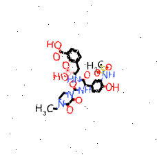 CCN1CCN(C(=O)NC(C(=O)N[C@H]2Cc3cccc(C(=O)O)c3OB2O)c2ccc(O)c(NS(C)(=O)=O)c2)C(=O)C1=O